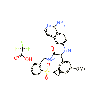 COc1cccc(C(Nc2ccc3c(N)nccc3c2)C(=O)NCc2ccccc2S(=O)(=O)C2CC2)c1.O=C(O)C(F)(F)F